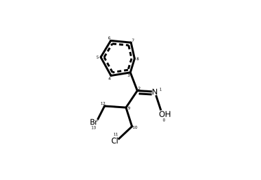 ON=C(c1ccccc1)C(CCl)CBr